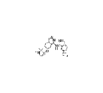 Cc1c([C@@H](N)Nc2nncc3ccc(O[C@H]4CCN(C)C4(C)C)cc23)cccc1C(F)(F)F